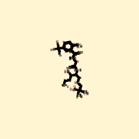 CCCC(O)C(CNCC(C)(C)C)NC(=O)CNC(=O)c1cc(C(F)(F)F)ccc1N